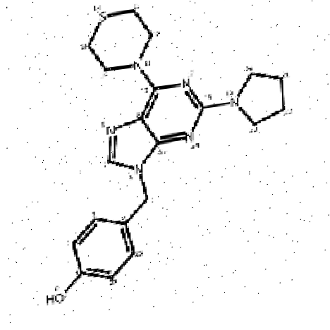 Oc1ccc(Cn2cnc3c(N4CCSCC4)nc(N4CCCC4)nc32)cc1